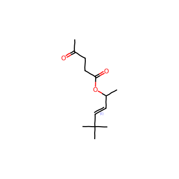 CC(=O)CCC(=O)OC(C)/C=C/C(C)(C)C